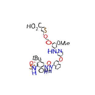 COc1cc(Nc2cc(Oc3ccc(NC(=O)Nc4cc(C(C)(C)C)cc(N[S+](C)[O-])c4OC)c4ccccc34)ccn2)cc(OCCOCc2cc(C(=O)O)cs2)c1